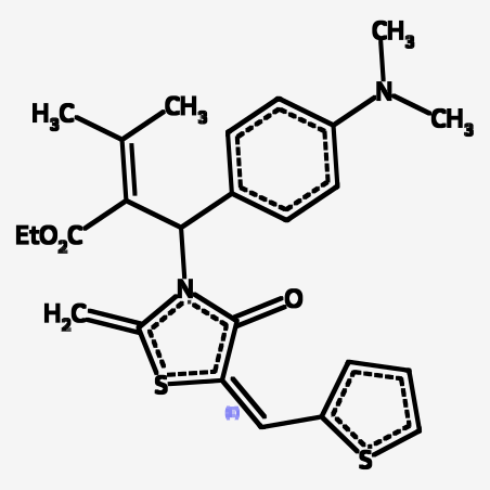 C=c1s/c(=C/c2cccs2)c(=O)n1C(C(C(=O)OCC)=C(C)C)c1ccc(N(C)C)cc1